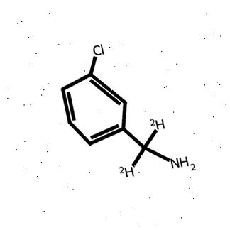 [2H]C([2H])(N)c1cccc(Cl)c1